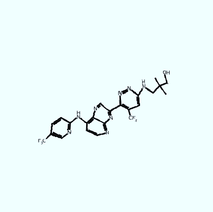 CC(C)(CO)CNc1cc(C(F)(F)F)c(-c2cnc3c(Nc4ccc(C(F)(F)F)cn4)ccnc3n2)nn1